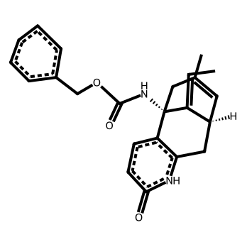 C/C=C1\[C@H]2C=C(C)C[C@]1(NC(=O)OCc1ccccc1)c1ccc(=O)[nH]c1C2